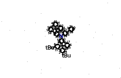 CC(C)(C)c1ccc(C2(c3ccc(C(C)(C)C)cc3)c3ccccc3-c3cc(N(c4ccc(-c5ccccc5)cc4)c4ccc5c(c4)C(c4ccccc4)(c4ccccc4)c4ccccc4-5)ccc32)cc1